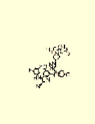 CC(C)(C)N1CCC(n2cc([C@@H](Nc3cc(Cl)cc4c(Nc5cc(F)cc(F)c5)c(C#N)cnc34)c3ccc(Cl)cc3)nn2)CC1